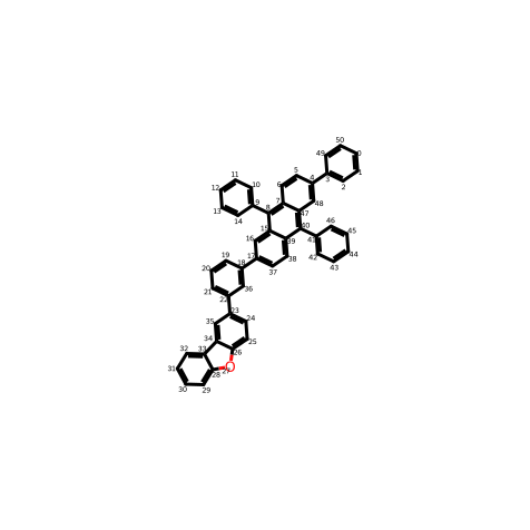 c1ccc(-c2ccc3c(-c4ccccc4)c4cc(-c5cccc(-c6ccc7oc8ccccc8c7c6)c5)ccc4c(-c4ccccc4)c3c2)cc1